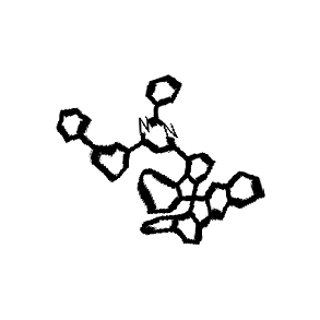 c1ccc(-c2cccc(-c3cc(-c4cccc5c4-c4ccccc4C54c5cc6ccccc6cc5-c5ccc6ccccc6c54)nc(-c4ccccc4)n3)c2)cc1